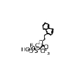 O=C(OCCc1cccc2ccccc12)C(SOOO)(C(F)(F)F)C(F)(F)F